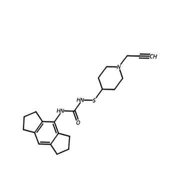 C#CCN1CCC(SNC(=O)Nc2c3c(cc4c2CCC4)CCC3)CC1